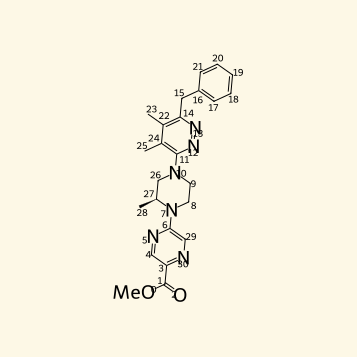 COC(=O)c1cnc(N2CCN(c3nnc(Cc4ccccc4)c(C)c3C)C[C@@H]2C)cn1